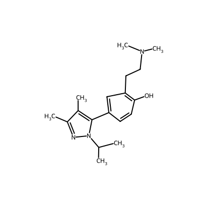 Cc1nn(C(C)C)c(-c2ccc(O)c(CCN(C)C)c2)c1C